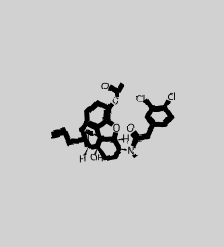 C=CCN1CC[C@]23c4c5ccc(OC(C)=O)c4O[C@H]2[C@H](N(C)C(=O)Cc2ccc(Cl)c(Cl)c2)CC[C@@]3(O)[C@H]1C5